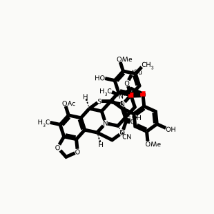 COc1cc2c(cc1O)CCN(C)[C@]21CS[C@@H]2c3c(OC(C)=O)c(C)c4c(c3[C@H](COC1=O)N1C2C2c3c(cc(C)c(OC)c3O)C[C@@H]([C@@H]1C#N)N2C(=O)OC(C)(C)C)OCO4